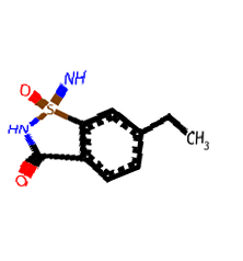 CCc1ccc2c(c1)S(=N)(=O)NC2=O